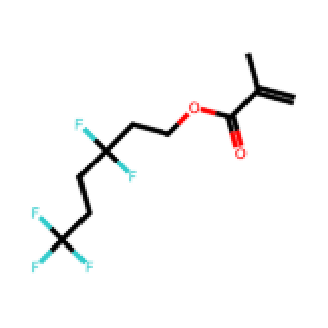 C=C(C)C(=O)OCCC(F)(F)CCC(F)(F)F